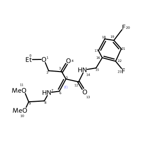 CCOCC(=O)/C(=C\NCC(OC)OC)C(=O)NCc1ccc(F)cc1F